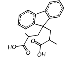 CC(CC1(CC(C)C(=O)O)c2ccccc2-c2ccccc21)C(=O)O